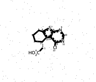 O=C(O)C[C@@H]1CCCc2sc3ncnc(Cl)c3c21